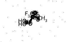 CS(=O)(=O)NCc1cc(C#CC(=O)N2C[C@@H](O)[C@@H](O)C2)ccc1-c1ccccc1C(F)(F)F